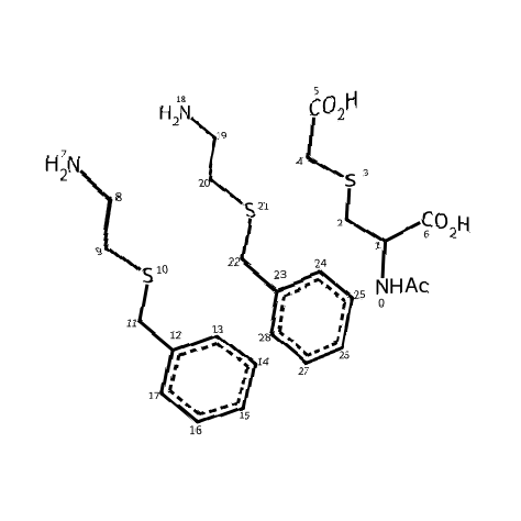 CC(=O)NC(CSCC(=O)O)C(=O)O.NCCSCc1ccccc1.NCCSCc1ccccc1